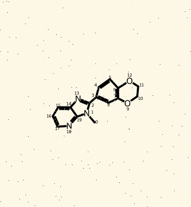 Cn1c(-c2ccc3c(c2)OCCO3)nc2cccnc21